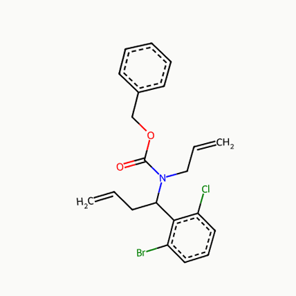 C=CCC(c1c(Cl)cccc1Br)N(CC=C)C(=O)OCc1ccccc1